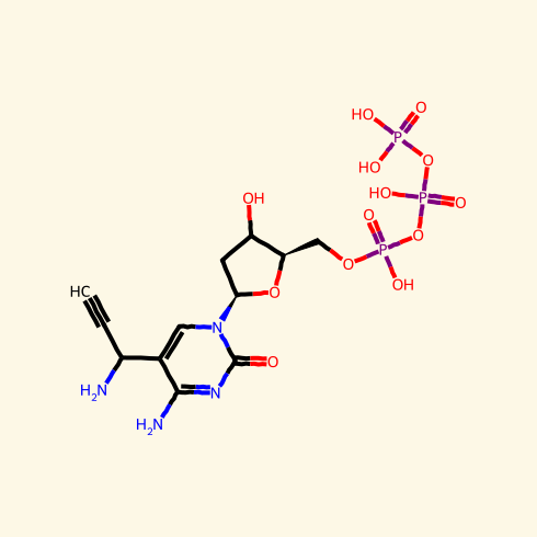 C#CC(N)c1cn([C@H]2CC(O)[C@@H](COP(=O)(O)OP(=O)(O)OP(=O)(O)O)O2)c(=O)nc1N